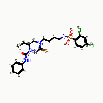 CNC(=S)N(CCCCNS(=O)(=O)c1ccc(Cl)cc1Cl)C[C@H](CC(C)C)NC(=O)Nc1ccccc1